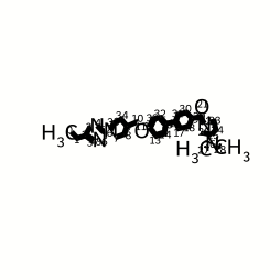 CCc1cnc(N2CCC(COc3ccc(C4=CCC(C(=O)N5CCC(N(C)C)C5)CC4)cc3)CC2)nc1